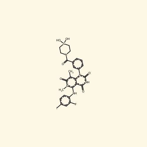 Cc1c(=O)n(C)c(Nc2ccc(I)cc2F)c2c(=O)[nH]c(=O)n(-c3cccc(C(=O)N4CCS(O)(O)CC4)c3)c12